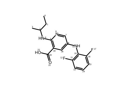 CCC(C)Nc1ncc(Nc2c(F)cccc2F)cc1C(=O)O